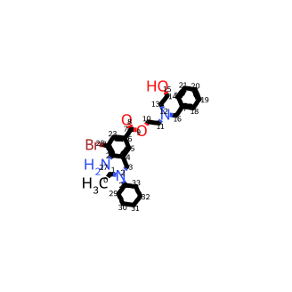 CCN(Cc1cc(C(=O)OCCN(CCO)Cc2ccccc2)cc(Br)c1N)C1CCCCC1